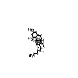 CC(C)CCC[C@@H](C)[C@H]1CC[C@H]2[C@@H]3CC=C4C[C@@H](O)CC(S)[C@]4(C)[C@H]3CC[C@]12C